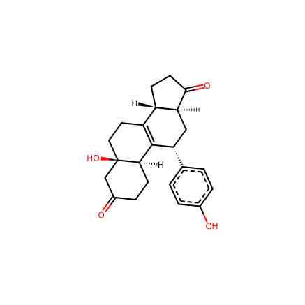 C[C@]12C[C@H](c3ccc(O)cc3)C3=C(CC[C@@]4(O)CC(=O)CC[C@H]34)[C@@H]1CCC2=O